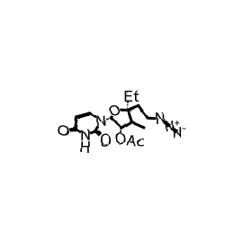 CC[C@@]1(CCN=[N+]=[N-])O[C@@H](n2ccc(=O)[nH]c2=O)[C@@H](OC(C)=O)C1C